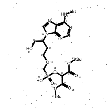 CCNc1ncnc2c1ncn2C(CO)CCOCP(=O)(O)OC(C(=O)OC(C)(C)C)C(=O)OC(C)(C)C